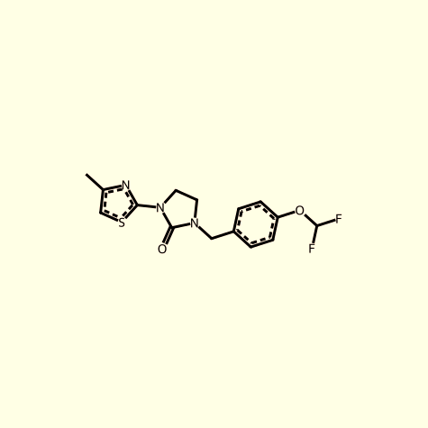 Cc1csc(N2CCN(Cc3ccc(OC(F)F)cc3)C2=O)n1